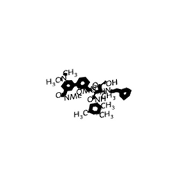 CNC(=O)c1cc(-c2cccc(CN3O[C@@H](CO)[C@H]([C@@H](C)NCCc4ccccc4)[C@H]3C(=O)N[C@H]3C[C@H](C)C[C@H](C)[C@@H]3C)c2OC)cc(N(C)C)c1